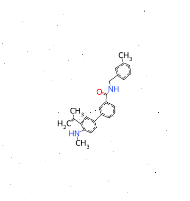 C=C(C)c1cc(-c2cccc(C(=O)NCc3cccc(C)c3)c2)ccc1NC